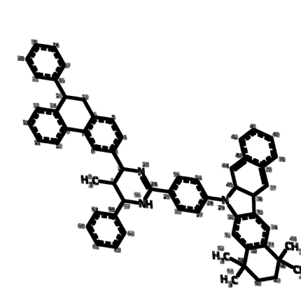 CC1C(c2ccc3c(c2)-c2ccccc2C(c2ccccc2)C3)N=C(c2ccc(N3c4cc5c(cc4C4C=c6ccccc6=CC43)C(C)(C)CCC5(C)C)cc2)NC1c1ccccc1